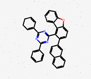 C1=CC(c2nc(-c3ccccc3)nc(-c3c(-c4ccc5ccccc5c4)ccc4oc5ccccc5c34)n2)=CCC1